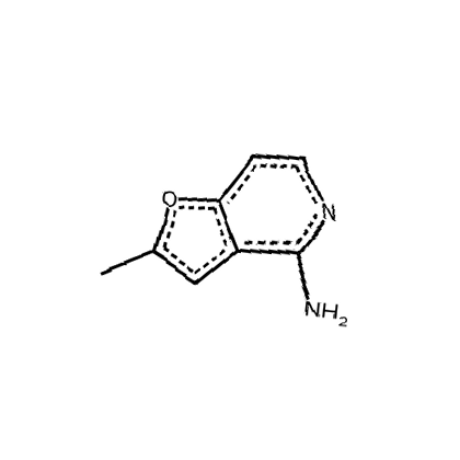 Cc1cc2c(N)nccc2o1